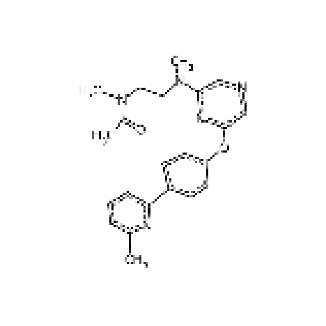 CC(=O)N(C)CCN(C)c1cncc(Oc2ccc(-c3cccc(C)n3)cc2)n1